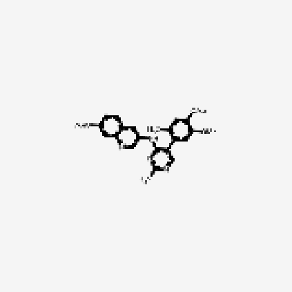 COc1ccc2cc(Nc3nc(N)ncc3-c3cc(OC)c(OC)cc3C)cnc2c1